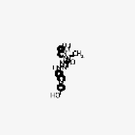 C=CCn1c(=O)c2cnc(Nc3ccc4c(c3)CCN([C@H]3CC[C@@H](CO)CC3)C4)nc2n1-c1ccc2c(n1)[C@@](O)(CC)CC2